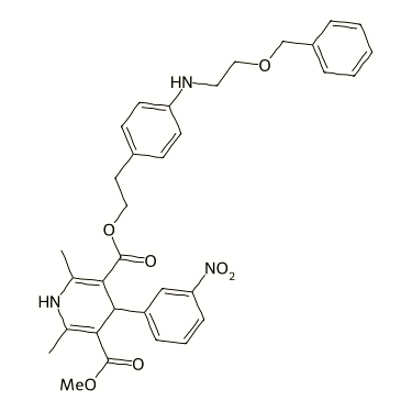 COC(=O)C1=C(C)NC(C)=C(C(=O)OCCc2ccc(NCCOCc3ccccc3)cc2)C1c1cccc([N+](=O)[O-])c1